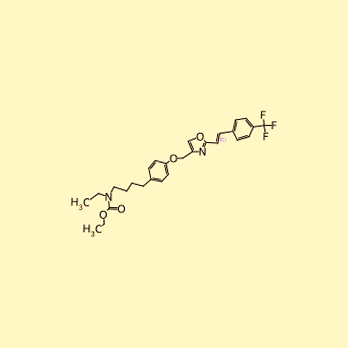 CCOC(=O)N(CC)CCCCc1ccc(OCc2coc(/C=C/c3ccc(C(F)(F)F)cc3)n2)cc1